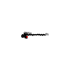 COCC1(C(=O)OCCCCCCCCCCCCCCCCCCC(C)C)c2ccccc2-c2ccccc21